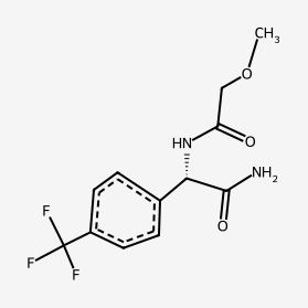 COCC(=O)N[C@H](C(N)=O)c1ccc(C(F)(F)F)cc1